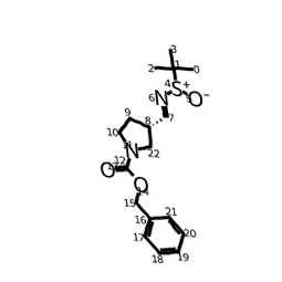 CC(C)(C)[S+]([O-])/N=C/[C@H]1CCN(C(=O)OCc2ccccc2)C1